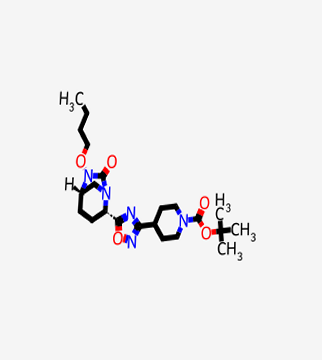 CCCCON1C(=O)N2C[C@@H]1CC[C@H]2c1nc(C2CCN(C(=O)OC(C)(C)C)CC2)no1